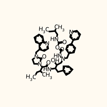 CCC(C)CNC(=O)OC(=O)NN(Cc1ccc(-c2cccnc2)cc1)CC(O)C(Cc1ccccc1)NC(=O)C(C(C)CC)N1CCN(Cc2ccnc3ccccc23)C1=O